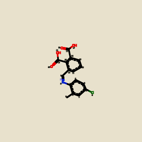 Cc1cc(Cl)ccc1/N=C\c1cccc(C(=O)O)c1C(=O)O